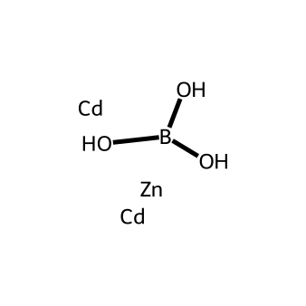 OB(O)O.[Cd].[Cd].[Zn]